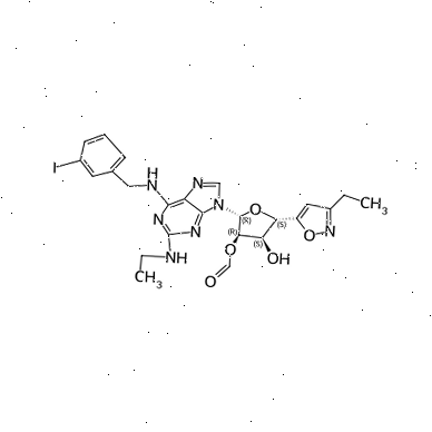 CCNc1nc(NCc2cccc(I)c2)c2ncn([C@@H]3O[C@H](c4cc(CC)no4)[C@@H](O)[C@H]3OC=O)c2n1